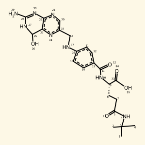 CC(C)(C)NC(=O)CC[C@H](NC(=O)c1ccc(NCc2cnc3c(n2)C(O)NC(N)=N3)cc1)C(=O)O